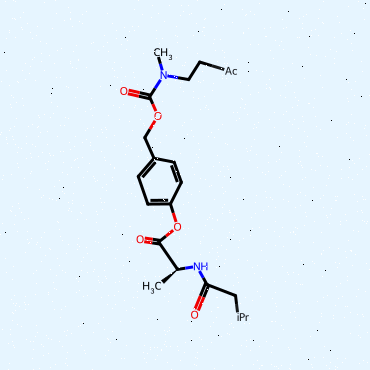 CC(=O)CCN(C)C(=O)OCc1ccc(OC(=O)[C@H](C)NC(=O)CC(C)C)cc1